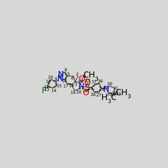 COCC12Cc3cnn(-c4ccc(F)cc4)c3C=C1CCN(S(=O)(=O)c1ccc(N3CCC(C)(C)C3)cc1)C2